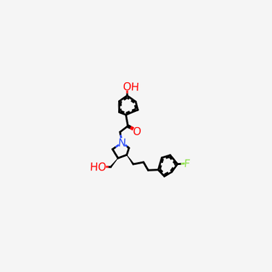 O=C(CN1C[C@@H](CCCc2ccc(F)cc2)[C@@H](CO)C1)c1ccc(O)cc1